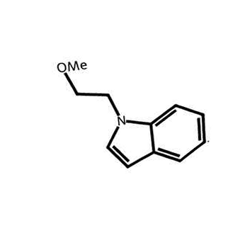 COCCn1ccc2c[c]ccc21